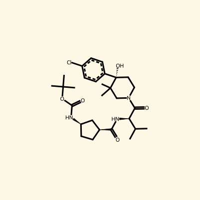 CC(C)[C@@H](NC(=O)[C@H]1CC[C@@H](NC(=O)OC(C)(C)C)C1)C(=O)N1CC[C@](O)(c2ccc(Cl)cc2)C(C)(C)C1